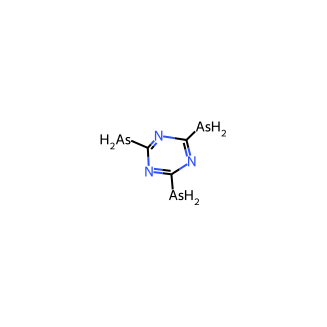 [AsH2]c1nc([AsH2])nc([AsH2])n1